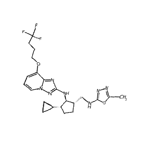 Cc1nnc(NC[C@@H]2CC[C@H](C3CC3)[C@H]2Nc2nc3c(OCCCC(F)(F)F)cccn3n2)o1